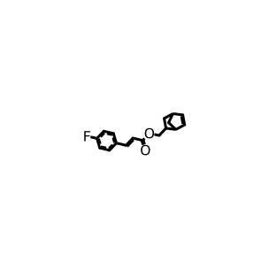 O=C(C=Cc1ccc(F)cc1)OCC1CC2C=CC1C2